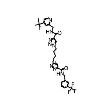 CC(F)(I)c1ccnc(CNC(=O)c2cn(CCCCn3cc(C(=O)NCc4cccc(C(F)(F)F)c4)nn3)nn2)c1